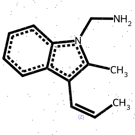 C/C=C\c1c(C)n(CN)c2ccccc12